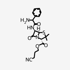 CC1(C)S[C@@H]2[C@H](NC(=O)C(N)c3ccccc3)C(=O)N2[C@H]1C(=O)OCCCC#N